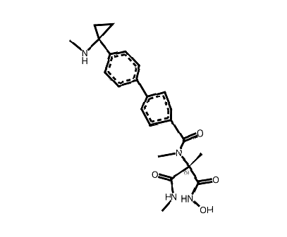 CNC(=O)[C@@](C)(C(=O)NO)N(C)C(=O)c1ccc(-c2ccc(C3(NC)CC3)cc2)cc1